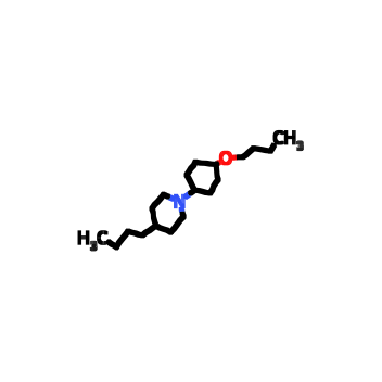 CCCCOC1CCC(N2CCC(CCCC)CC2)CC1